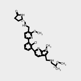 COc1nc(-c2cccc(-c3ccc4c(CNC[C@H](C)OC)cn(C)c4n3)c2Cl)ccc1CNC[C@@H]1CCC(=O)N1